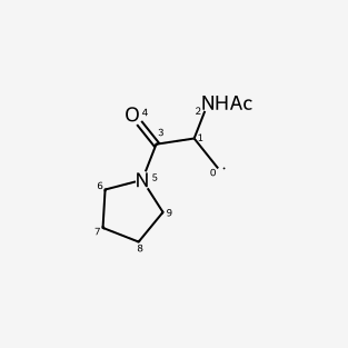 [CH2]C(NC(C)=O)C(=O)N1CCCC1